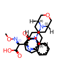 CO/N=C(\C(=O)O)c1nc2ccccc2n(C2C[C@H]3COC[C@@H](C2)N3C2C[C@H]3CCCC[C@@H](C2)C3)c1=O